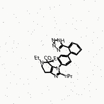 CCCc1nc2c(n1-c1ccc(-c3ccccc3-c3nnn[nH]3)cc1)C(C)(C(=O)OCC)N(CC)CC2